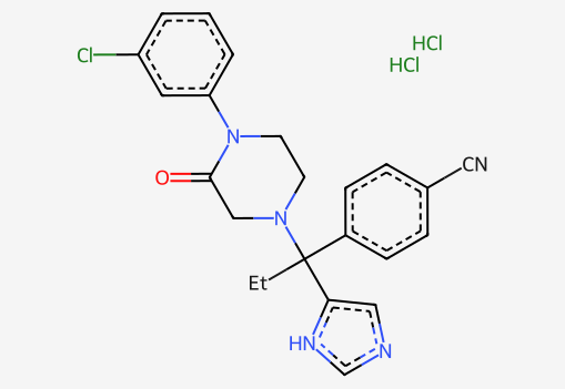 CCC(c1ccc(C#N)cc1)(c1cnc[nH]1)N1CCN(c2cccc(Cl)c2)C(=O)C1.Cl.Cl